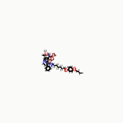 CCCCOc1ccc(OCCCCCCCN2C(=O)[C@]3(CCN4C[C@H](CC)[C@@H](/C(=C\OC)C(=O)OC)C[C@H]43)c3ccccc32)cc1